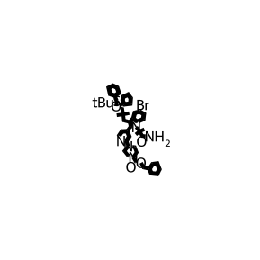 CC(C)(CO[Si](c1ccccc1)(c1ccccc1)C(C)(C)C)Cc1c(-c2ccnc(N3CCN(C(=O)OCc4ccccc4)CC3)c2)n(C(C)(C)C(N)=O)c2ccc(Br)cc12